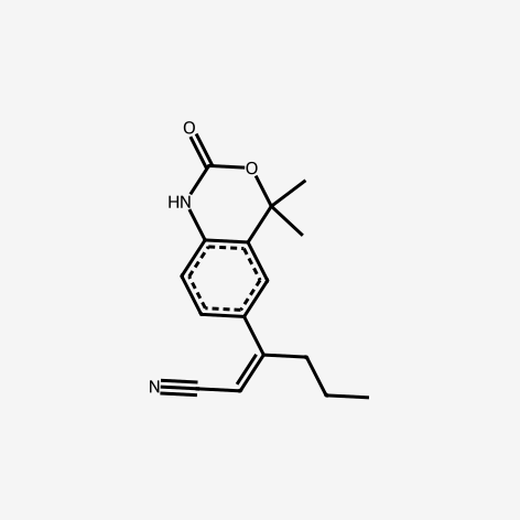 CCC/C(=C/C#N)c1ccc2c(c1)C(C)(C)OC(=O)N2